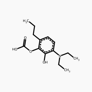 CCCc1ccc(N(CC)CC)c(O)c1OC(=O)O